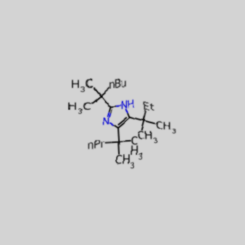 CCCCC(C)(C)c1nc(C(C)(C)CCC)c(C(C)(C)CC)[nH]1